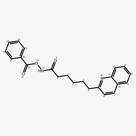 O=C(CCCCCc1ccc2ccccc2n1)NOC(=O)c1ccccc1